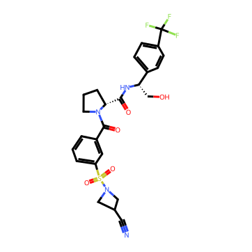 N#CC1CN(S(=O)(=O)c2cccc(C(=O)N3CCC[C@@H]3C(=O)N[C@@H](CO)c3ccc(C(F)(F)F)cc3)c2)C1